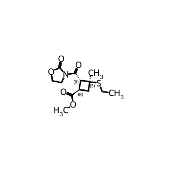 CCS[C@@]1(C)C[C@@H](C(=O)OC)[C@@H]1C(=O)N1CCOC1=O